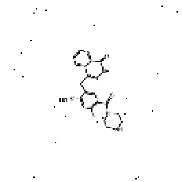 Cl.Cl.O=C(c1cc(Cc2n[nH]c(=O)c3ccccc23)ccc1F)N1CCNCC1